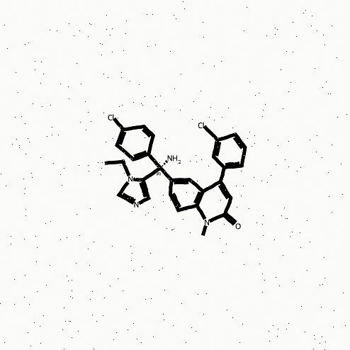 CCn1cncc1[C@@](N)(c1ccc(Cl)cc1)c1ccc2c(c1)c(-c1cccc(Cl)c1)cc(=O)n2C